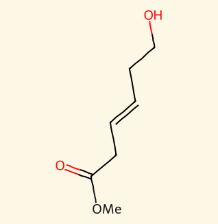 COC(=O)CC=CCCO